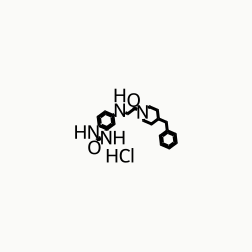 Cl.O=C(CNc1ccc2[nH]c(=O)[nH]c2c1)N1CCC(Cc2ccccc2)CC1